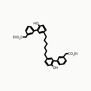 CCOC(=O)Cc1cccc(-c2cc(CCCCCCc3ccc(O)c(-c4cccc(CC(=O)OCC)c4)c3)ccc2O)c1